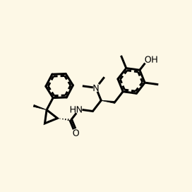 Cc1cc(C[C@@H](CNC(=O)[C@@H]2C[C@]2(C)c2ccccc2)N(C)C)cc(C)c1O